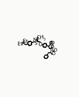 CCN(CC)Cc1ccc(-c2nc(C)c(COc3ccc(C(CC(=O)N4C(=O)OCC4Cc4ccccc4)c4ccon4)cc3)s2)cc1